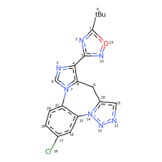 CC(C)(C)c1nc(-c2ncn3c2Cc2cnnn2-c2cc(Cl)ccc2-3)no1